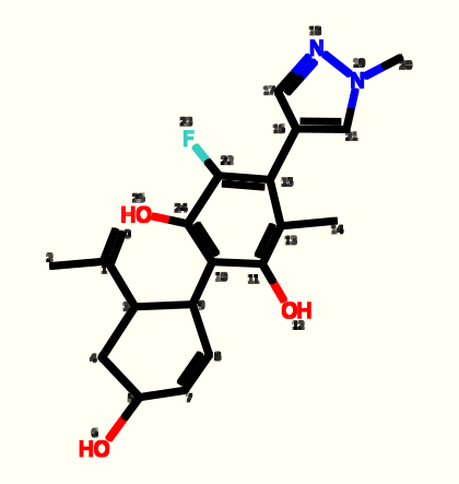 C=C(C)C1CC(O)C=CC1c1c(O)c(C)c(-c2cnn(C)c2)c(F)c1O